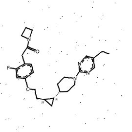 CCc1cnc(N2CCC([C@@H]3C[C@H]3CCOc3ccc(CC(=O)N4CCC4)c(F)c3)CC2)nc1